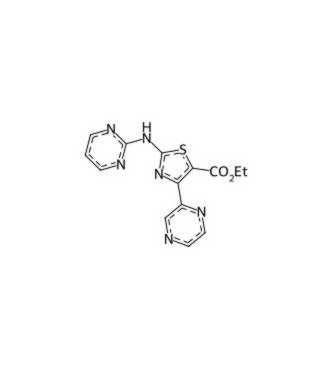 CCOC(=O)c1sc(Nc2ncccn2)nc1-c1cnccn1